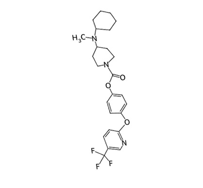 CN(C1CCCCC1)C1CCN(C(=O)Oc2ccc(Oc3ccc(C(F)(F)F)cn3)cc2)CC1